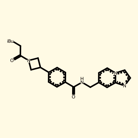 CCC(C)CC(=O)N1CC(c2ccc(C(=O)NCc3ccn4ccnc4c3)cc2)C1